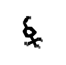 CC(C)(C)c1ccc(N=N)cc1